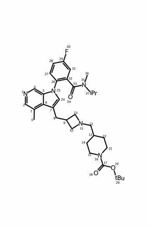 Cc1cncc2c1c(CC1CN(CC3CCN(C(=O)OC(C)(C)C)CC3)C1)cn2-c1ccc(F)cc1C(=O)N(C)C(C)C